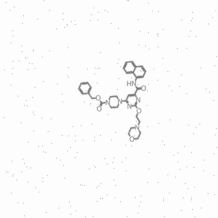 O=C(Nc1cccc2ccccc12)c1cc(N2CCN(C(=O)OCc3ccccc3)CC2)nc(OCCN2CCOCC2)n1